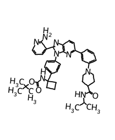 CC(C)NC(=O)C1CCN(c2cccc(-c3ccc4nc(-c5cccnc5N)n(-c5ccc(C6(NC(=O)OC(C)(C)C)CCC6)cc5)c4n3)c2)CC1